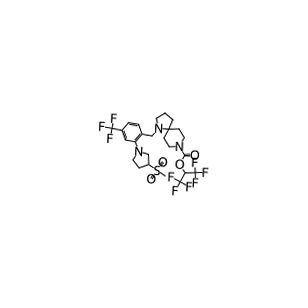 CS(=O)(=O)C1CCN(c2cc(C(F)(F)F)ccc2CN2CCCC23CCN(C(=O)OC(C(F)(F)F)C(F)(F)F)CC3)C1